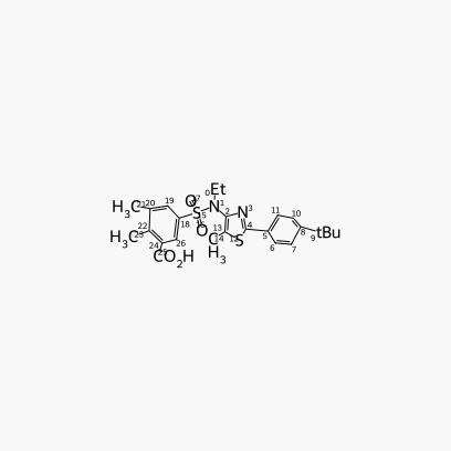 CCN(c1nc(-c2ccc(C(C)(C)C)cc2)sc1C)S(=O)(=O)c1cc(C)c(C)c(C(=O)O)c1